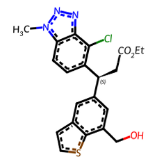 CCOC(=O)C[C@@H](c1cc(CO)c2sccc2c1)c1ccc2c(nnn2C)c1Cl